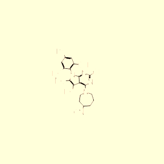 [C-]#[N+]C1CCCN(c2nc(C)nc3c2c(C)c(C)n3-c2c(C)cc(Br)cc2C)CC1